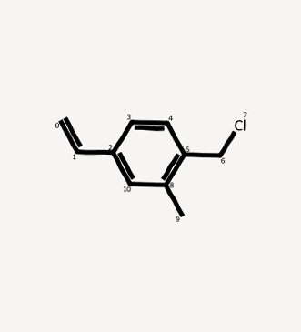 C=Cc1ccc(CCl)c(C)c1